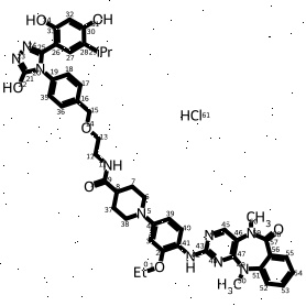 CCOc1cc(N2CCC(C(=O)NCCOCc3ccc(-n4c(O)nnc4-c4cc(C(C)C)c(O)cc4O)cc3)CC2)ccc1Nc1ncc2c(n1)N(C)c1ccccc1C(=O)N2C.Cl